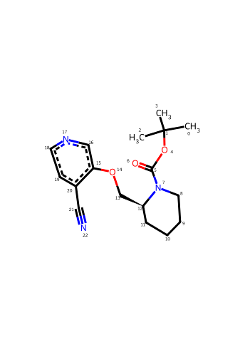 CC(C)(C)OC(=O)N1CCCC[C@H]1COc1cnccc1C#N